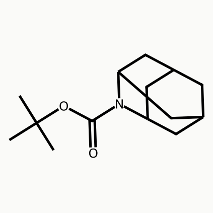 CC(C)(C)OC(=O)N1C2CC3CC(C2)CC1C3